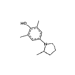 Cc1cc(N2CCCC2C)cc(C)c1O